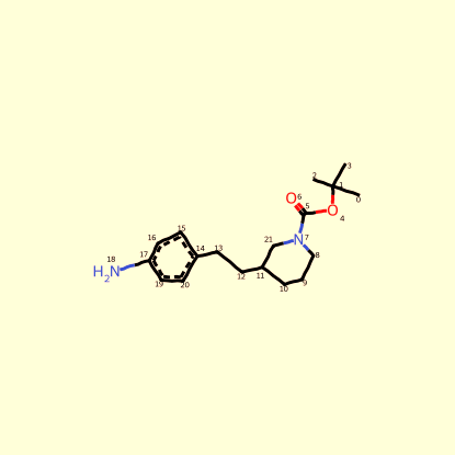 CC(C)(C)OC(=O)N1CCCC(CCc2ccc(N)cc2)C1